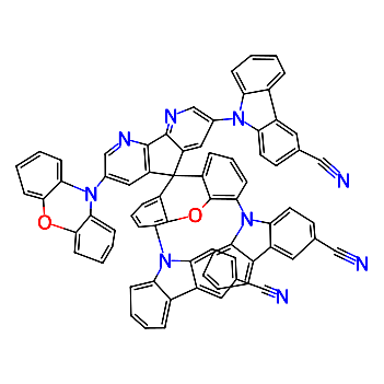 N#Cc1ccc2c(c1)c1ccccc1n2-c1cnc2c(c1)C1(c3cc(N4c5ccccc5Oc5ccccc54)cnc3-2)c2cccc(-n3c4ccccc4c4cc(C#N)ccc43)c2Oc2c(-n3c4ccccc4c4cc(C#N)ccc43)cccc21